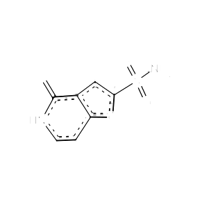 NS(=O)(=O)c1cc2c(=O)[nH]ccc2o1